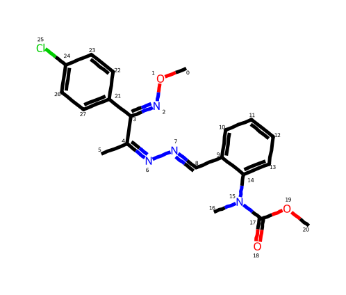 CON=C(C(C)=NN=Cc1ccccc1N(C)C(=O)OC)c1ccc(Cl)cc1